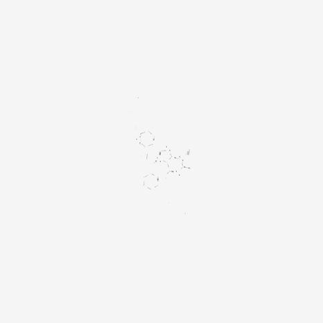 Cc1nc(OC2CC(C)C2)ccc1-c1nc2c(c(=O)n(CCCOC3CCCCO3)c(=O)n2C(C)C)n1Cc1ccc(F)cc1